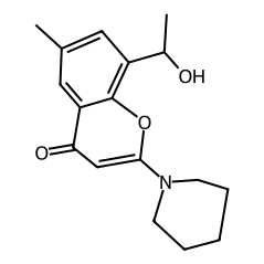 Cc1cc(C(C)O)c2oc(N3CCCCC3)cc(=O)c2c1